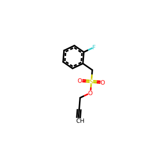 C#CCOS(=O)(=O)Cc1ccccc1F